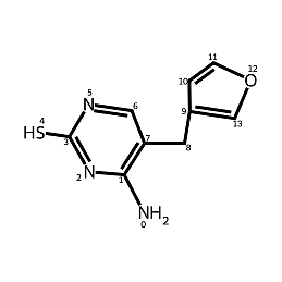 Nc1nc(S)ncc1Cc1ccoc1